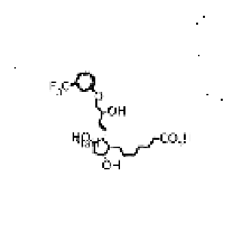 O=C(O)CCC/C=C\C[C@@H]1[C@@H](/C=C/[C@@H](O)COc2cccc(C(F)(F)F)c2)[C@H](O)C[C@@H]1O.[NaH]